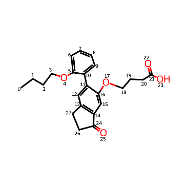 CCCCOc1ccccc1-c1cc2c(cc1OCCCC(=O)O)C(=O)CC2